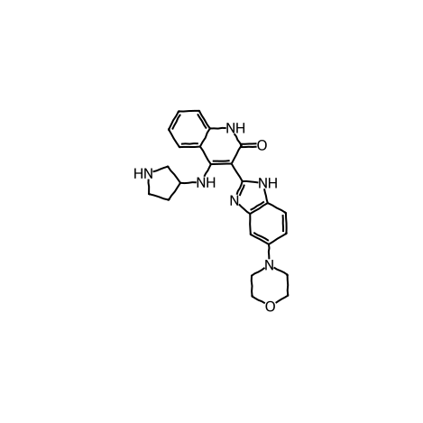 O=c1[nH]c2ccccc2c(NC2CCNC2)c1-c1nc2cc(N3CCOCC3)ccc2[nH]1